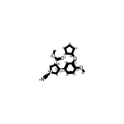 COC(=O)[C@H]1CN(C#N)C[C@@H]1c1ccc(OC)c(OC2CCCC2)c1